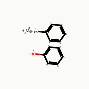 CCCCCCc1ccccc1.Oc1ccccc1.[MgH2]